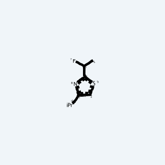 CC(C)c1csc(C(C)F)n1